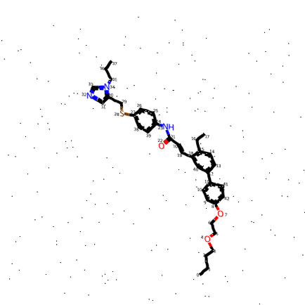 CCCCOCCOc1ccc(-c2ccc(CC)c(/C=C/C(=O)Nc3ccc(SCc4cncn4CCC)cc3)c2)cc1